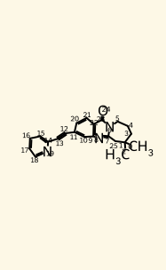 CC1(C)CCCn2c(nc3cc(C#Cc4ccccn4)ccc3c2=O)C1